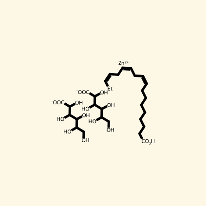 CC/C=C\C/C=C\C/C=C\CCCCCCCC(=O)O.O=C([O-])C(O)C(O)C(O)C(O)CO.O=C([O-])C(O)C(O)C(O)C(O)CO.[Zn+2]